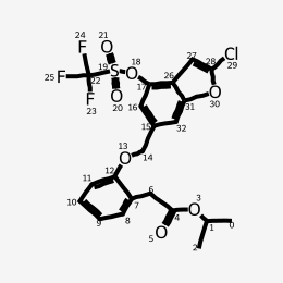 CC(C)OC(=O)Cc1ccccc1OCc1cc(OS(=O)(=O)C(F)(F)F)c2cc(Cl)oc2c1